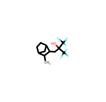 CC1C2CCC(C2)C1CC(O)(C(F)(F)F)C(F)(F)F